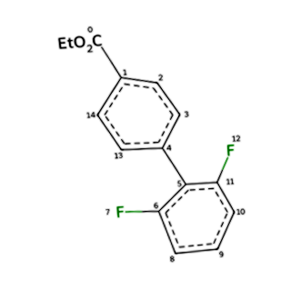 CCOC(=O)c1ccc(-c2c(F)cccc2F)cc1